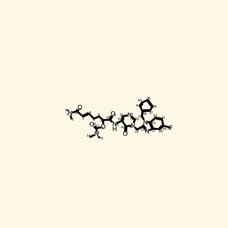 CN(C)C(=O)/C=C/CCC(OC(=O)N(C)C)C(=O)Nc1cncn(Cc2nc3cc(F)ccc3n2Cc2ccccc2)c1=O